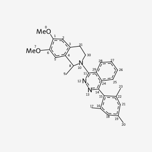 COc1cc2c(cc1OC)C(C)N(c1nnc(-c3c(C)cc(C)cc3C)c3ccccc13)CC2